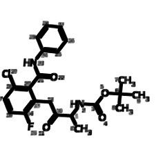 CC(NC(=O)OC(C)(C)C)C(=O)Cc1c(F)ccc(Cl)c1C(=O)Nc1ccccc1